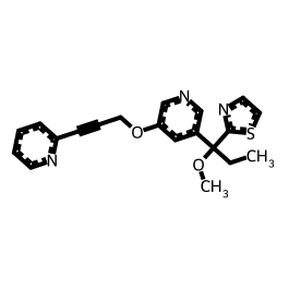 CCC(OC)(c1cncc(OCC#Cc2ccccn2)c1)c1nccs1